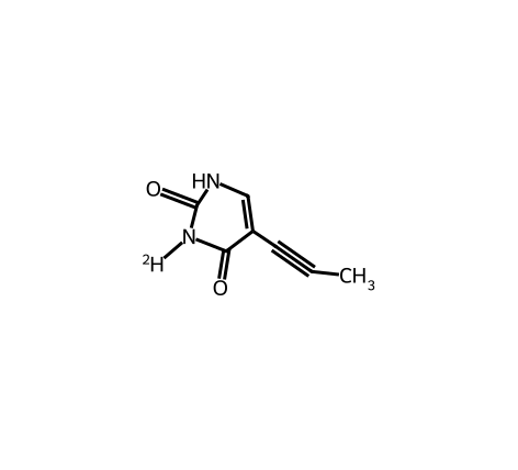 [2H]n1c(=O)[nH]cc(C#CC)c1=O